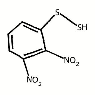 O=[N+]([O-])c1cccc(SS)c1[N+](=O)[O-]